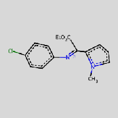 CCOC(=O)/C(=N\c1ccc(Cl)cc1)c1cccn1C